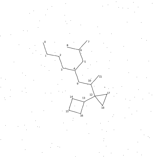 CCCCC(CC(C)C)CC(C)C1(C2CCC2)CC1